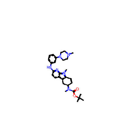 CN1CCN(c2cccc(Nc3ccc4c5c(n(C)c4n3)CCC(N(C)C(=O)OC(C)(C)C)C5)c2)CC1